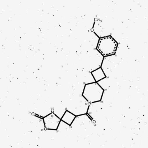 COc1cccc(C2CC3(CCN(C(=O)C4CC5(COC(=O)N5)C4)CC3)C2)c1